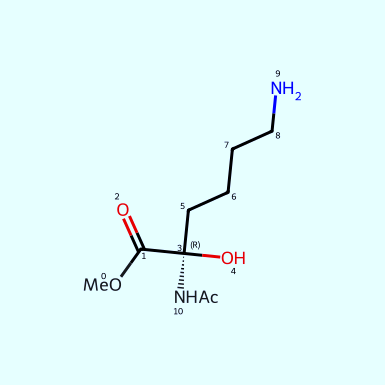 COC(=O)[C@](O)(CCCCN)NC(C)=O